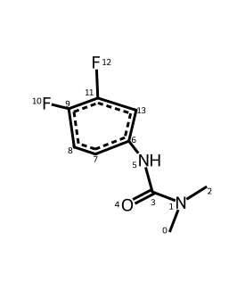 CN(C)C(=O)Nc1ccc(F)c(F)c1